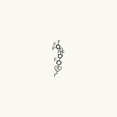 CCCC1COC(c2ccc(-c3ccc(C(F)(F)Oc4cc(F)c(F)c(F)c4)cc3)c(F)c2)OC1